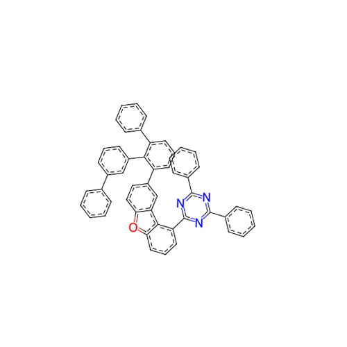 c1ccc(-c2cccc(-c3c(-c4ccccc4)cccc3-c3ccc4oc5cccc(-c6nc(-c7ccccc7)nc(-c7ccccc7)n6)c5c4c3)c2)cc1